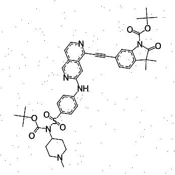 CN1CCC(N(C(=O)OC(C)(C)C)S(=O)(=O)c2ccc(Nc3cc4c(C#Cc5ccc6c(c5)N(C(=O)OC(C)(C)C)C(=O)C6(C)C)nccc4cn3)cc2)CC1